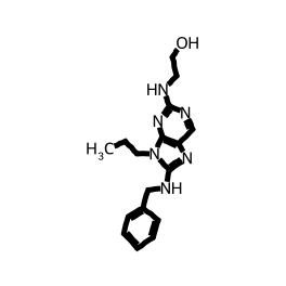 CCCn1c(NCc2ccccc2)nc2cnc(NCCO)nc21